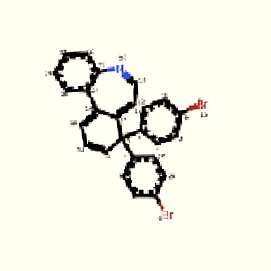 Brc1ccc(C2(c3ccc(Br)cc3)C=CC=C3C2=CC=Nc2ccccc23)cc1